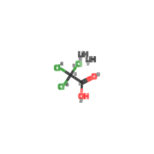 O=C(O)C(Cl)(Cl)Cl.[LiH].[LiH]